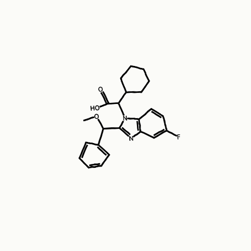 COC(c1ccccc1)c1nc2cc(F)ccc2n1C(C(=O)O)C1CCCCC1